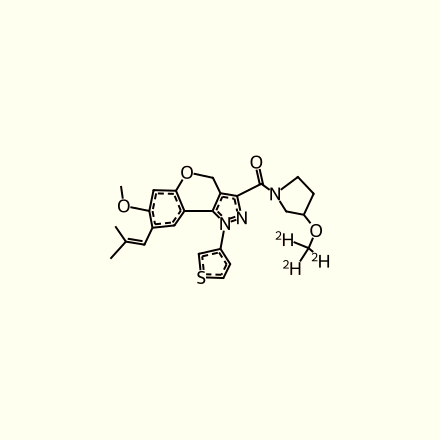 [2H]C([2H])([2H])OC1CCN(C(=O)c2nn(-c3ccsc3)c3c2COc2cc(OC)c(C=C(C)C)cc2-3)C1